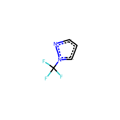 FC(F)(F)n1[c]c[c]n1